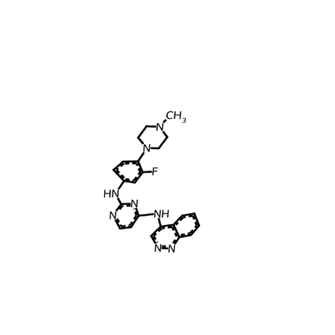 CN1CCN(c2ccc(Nc3nccc(Nc4cnnc5ccccc45)n3)cc2F)CC1